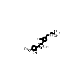 CC(O)CNCc1ccc(-c2noc(-c3ccc(OC(C)C)c(C#N)c3)n2)c(Cl)c1.Cl